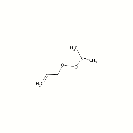 C=CCOO[SiH](C)C